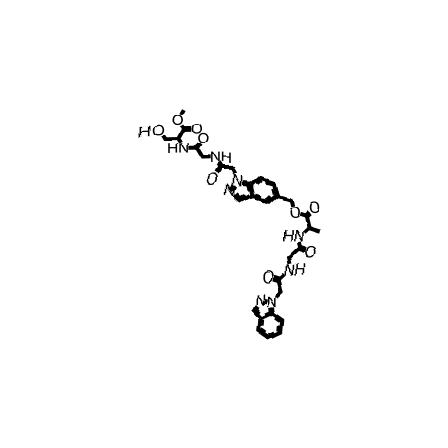 COC(=O)C(CO)NC(=O)CNC(=O)Cn1ncc2cc(COC(=O)C(C)NC(=O)CNC(=O)Cn3ncc4ccccc43)ccc21